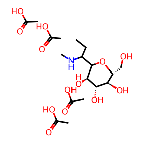 CC(=O)O.CC(=O)O.CC(=O)O.CC(=O)O.CCC(NC)C1O[C@H](CO)[C@@H](O)[C@H](O)[C@H]1O